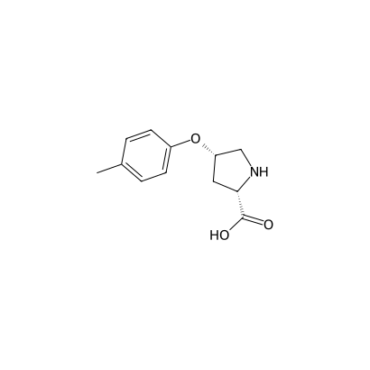 Cc1ccc(O[C@@H]2CN[C@H](C(=O)O)C2)cc1